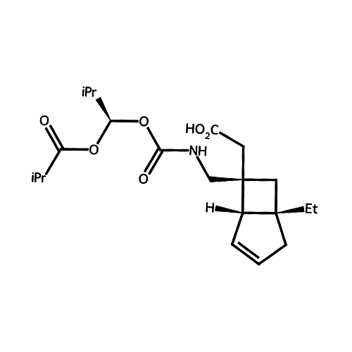 CC[C@@]12CC=C[C@@H]1[C@](CNC(=O)O[C@@H](OC(=O)C(C)C)C(C)C)(CC(=O)O)C2